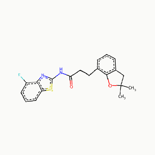 CC1(C)Cc2cccc(CCC(=O)Nc3nc4c(F)cccc4s3)c2O1